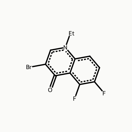 CCn1cc(Br)c(=O)c2c(F)c(F)ccc21